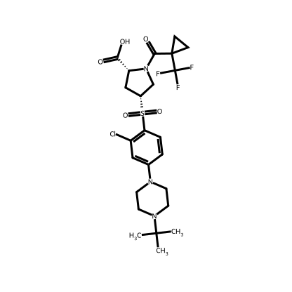 CC(C)(C)N1CCN(c2ccc(S(=O)(=O)[C@@H]3C[C@H](C(=O)O)N(C(=O)C4(C(F)(F)F)CC4)C3)c(Cl)c2)CC1